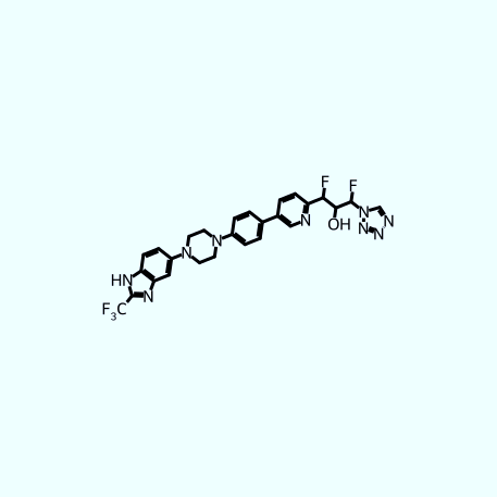 OC(C(F)c1ccc(-c2ccc(N3CCN(c4ccc5[nH]c(C(F)(F)F)nc5c4)CC3)cc2)cn1)C(F)n1cnnn1